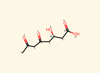 CC(=O)CC(=O)C[C@@H](O)CC(=O)O